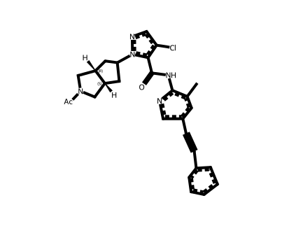 CC(=O)N1C[C@H]2CC(n3ncc(Cl)c3C(=O)Nc3ncc(C#Cc4ccccc4)cc3C)C[C@H]2C1